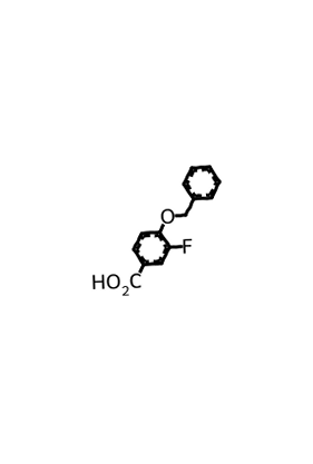 O=C(O)c1ccc(OCc2ccccc2)c(F)c1